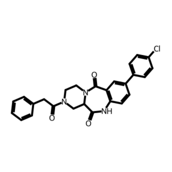 O=C1Nc2ccc(-c3ccc(Cl)cc3)cc2C(=O)N2CCN(C(=O)Cc3ccccc3)CC12